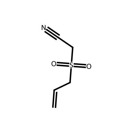 C=CCS(=O)(=O)CC#N